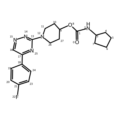 O=C(NC1CCCC1)OC1CCN(c2nncc(-c3ccc(F)cc3)n2)CC1